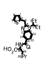 CCC(CC)n1c(Cc2cccs2)nc2cc(C(=O)N[C@@H](CC(C)C)C(=O)O)ccc21